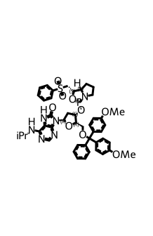 COc1ccc(C(OC[C@H]2O[C@@H](n3c(=O)[nH]c4c(NC(C)C)ncnc43)C[C@@H]2O[P@]2O[C@H](CS(=O)(=O)c3ccccc3)[C@@H]3CCCN32)(c2ccccc2)c2ccc(OC)cc2)cc1